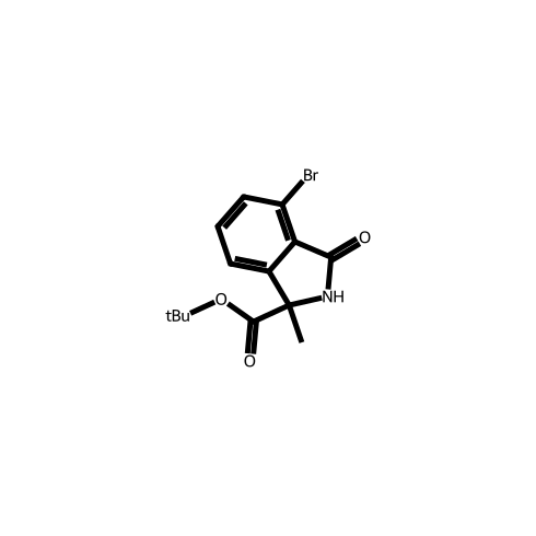 CC(C)(C)OC(=O)C1(C)NC(=O)c2c(Br)cccc21